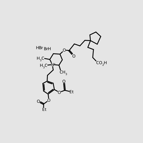 Br.Br.CCC(=O)Oc1ccc(CC[N+]2(C)C(C)CC(OC(=O)CCCC3(CCCC(=O)O)CCCC3)CC2C)cc1OC(=O)CC